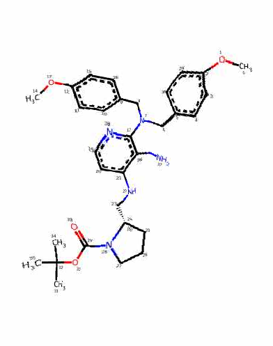 COc1ccc(CN(Cc2ccc(OC)cc2)c2nccc(NC[C@@H]3CCCN3C(=O)OC(C)(C)C)c2N)cc1